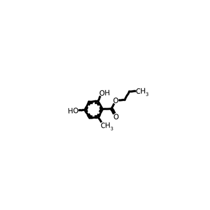 CCCOC(=O)c1c(C)cc(O)cc1O